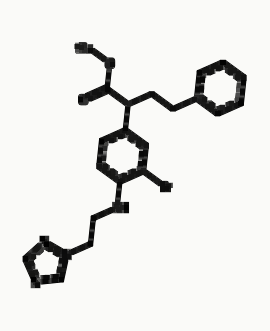 CC(C)(C)OC(=O)C(CCc1ccccc1)c1ccc(NCCn2cncn2)c(Br)c1